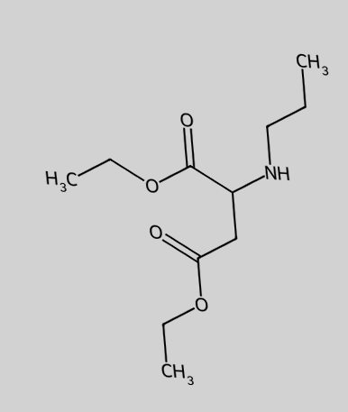 CCCNC(CC(=O)OCC)C(=O)OCC